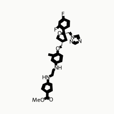 COC(=O)c1ccc(NCCNc2ccc(OC[C@@H]3CO[C@@](Cn4cncn4)(c4ccc(F)cc4F)C3)c(C)c2)cc1